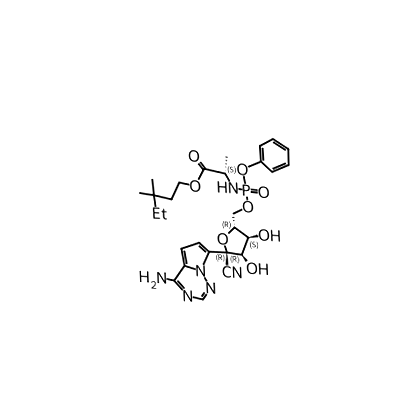 CCC(C)(C)CCOC(=O)[C@H](C)NP(=O)(OC[C@H]1O[C@@](C#N)(c2ccc3c(N)ncnn23)[C@H](O)[C@@H]1O)Oc1ccccc1